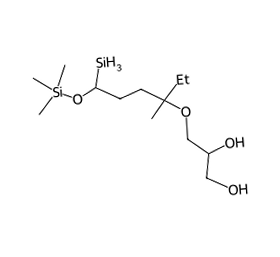 CCC(C)(CCC([SiH3])O[Si](C)(C)C)OCC(O)CO